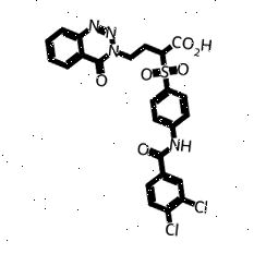 O=C(Nc1ccc(S(=O)(=O)C(CCn2nnc3ccccc3c2=O)C(=O)O)cc1)c1ccc(Cl)c(Cl)c1